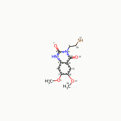 COc1cc2[nH]c(=O)n(CCS)c(=O)c2cc1OC